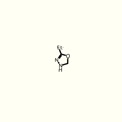 C[CH]C1=NNCO1